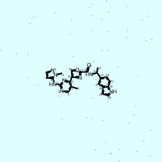 Cc1cnc(Nc2ccnn2C)nc1-c1coc(C(=O)NC(C)c2ccc3[nH]ccc3c2)n1